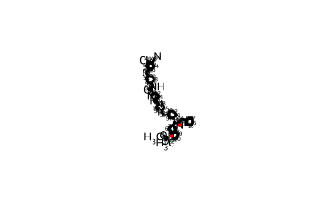 COC(=O)N1c2ccc3c(nc(Cc4ccccc4)n3[C@H]3CCC[C@H](CN4CCN(c5ccc(C(=O)NC6CCC(Oc7ccc(C#N)c(Cl)c7)CC6)nn5)CC4)C3)c2CC[C@@H]1C